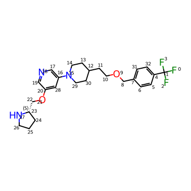 FC(F)(F)c1ccc(COCCC2CCN(c3cncc(OC[C@@H]4CCCN4)c3)CC2)cc1